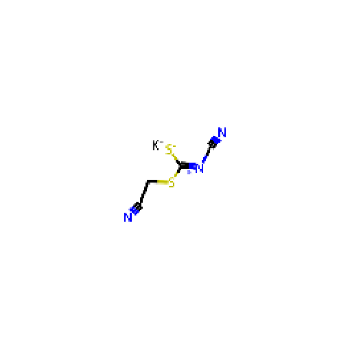 N#CCS/C([S-])=N/C#N.[K+]